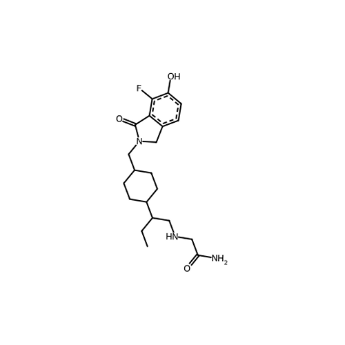 CCC(CNCC(N)=O)C1CCC(CN2Cc3ccc(O)c(F)c3C2=O)CC1